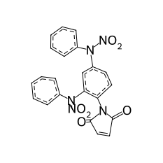 O=C1C=CC(=O)N1c1ccc(N(c2ccccc2)[N+](=O)[O-])cc1N(c1ccccc1)[N+](=O)[O-]